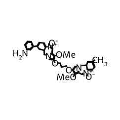 COc1c(OCCCOc2cn3c(c2OC)C=[N+]([O-])C2=CC=C(c4cccc(N)c4)CC2C3)cn2c1C=[N+]([O-])C1=CC=C(C)CC1C2